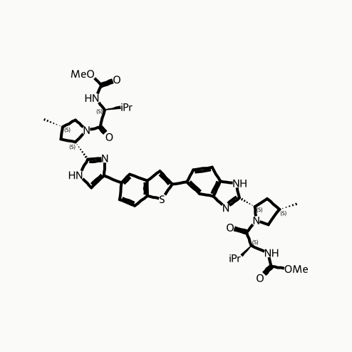 COC(=O)N[C@H](C(=O)N1C[C@@H](C)C[C@H]1c1nc(-c2ccc3sc(-c4ccc5[nH]c([C@@H]6C[C@H](C)CN6C(=O)[C@@H](NC(=O)OC)C(C)C)nc5c4)cc3c2)c[nH]1)C(C)C